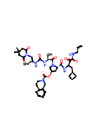 C=CCNC(=O)C(=O)C(CC1CCC1)NC(=O)[C@@H]1C[C@@H](OC(=O)N2CCc3ccccc3C2)CN1C(=O)[C@@H](NC(=O)N[C@H](CN1C(=O)CC(C)(C)CC1=O)C(C)(C)C)C(C)(C)C